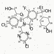 CCC(O)(c1cc(F)c2c(c1)C(=O)N(Cc1ncc(Cl)cn1)[C@@]2(OCCO)c1ccc(Cl)cc1)[C@H]1CC[C@H](O)CC1